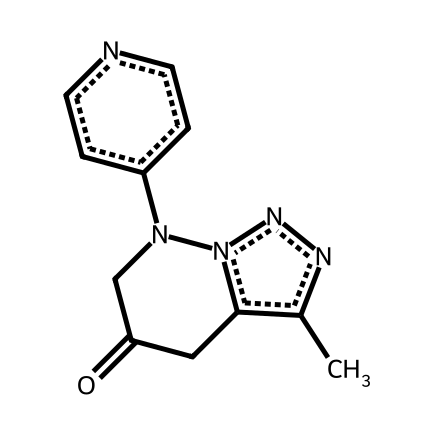 Cc1nnn2c1CC(=O)CN2c1ccncc1